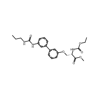 CCCNC(=O)Nc1cccc(-c2cccc(OC[C@H](NC(=O)OCC)C(=O)OC)c2)c1